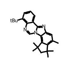 Cc1cc2nc3c4cccc(C(C)(C)C)c4ncn3c2c2c1C(C)(C)CC2(C)C